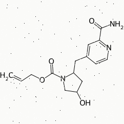 C=CCOC(=O)N1CC(O)CC1Cc1ccnc(C(N)=O)c1